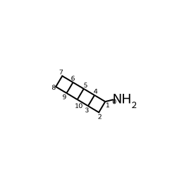 NC1CC2C1C1C3CCC3C21